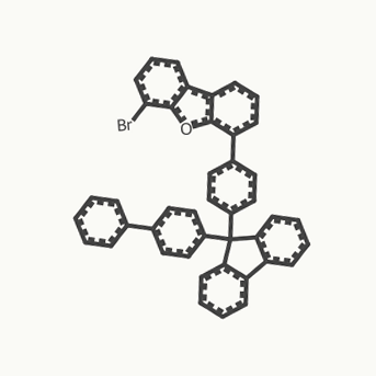 Brc1cccc2c1oc1c(-c3ccc(C4(c5ccc(-c6ccccc6)cc5)c5ccccc5-c5ccccc54)cc3)cccc12